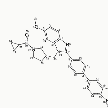 COc1ccc2nc(-c3ccc(-c4ccc5[nH]ccc5c4)cc3)n(CC3CCN(C(=O)C4CC4)C3)c2c1